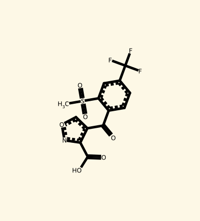 CS(=O)(=O)c1cc(C(F)(F)F)ccc1C(=O)c1conc1C(=O)O